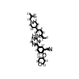 C/C=C(\C=C/C(C)C1CCN(CC(C)F)CC1)Nc1ncnc(-c2ccc(OC3CCOCC3)c(C#N)c2)n1